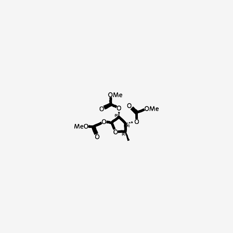 COC(=O)OC1O[C@H](C)[C@@H](OC(=O)OC)[C@H]1OC(=O)OC